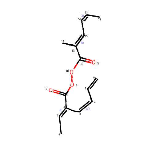 C=C/C=C\C(=C/C)C(=O)OOC(=O)/C(C)=C/C=C\C